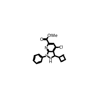 COC(=O)c1cc(Cl)c2c(n1)N(c1ccccc1)NC2C1CCC1